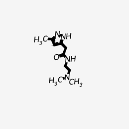 Cc1[c]c(CC(=O)NCCN(C)C)[nH]n1